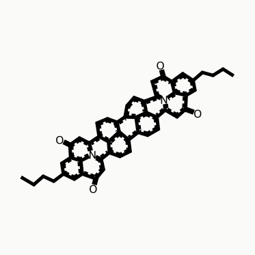 CCCCc1cc2c(=O)cc3c4ccc5c6ccc7c8c(ccc(c9ccc(c4c59)c4cc(=O)c(c1)c2n34)c68)c1cc(=O)c2cc(CCCC)cc3c(=O)cc7n1c32